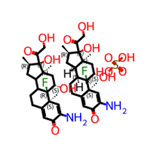 C[C@@H]1CC2C3CCC4=CC(=O)C(N)=C[C@]4(C)[C@@]3(F)[C@@H](O)C[C@]2(C)[C@@]1(O)C(=O)CO.C[C@@H]1C[C@H]2[C@@H]3CCC4=CC(=O)C(N)=C[C@]4(C)[C@@]3(F)[C@@H](O)C[C@]2(C)[C@@]1(O)C(=O)CO.O=S(=O)(O)O